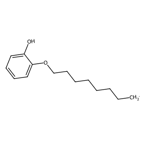 [CH2]CCCCCCCOc1ccccc1O